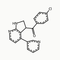 O=C(c1ccc(Cl)cc1)C1CNc2nccc(-c3cccnc3)c21